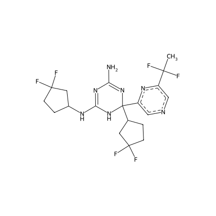 CC(F)(F)c1cncc(C2(C3CCC(F)(F)C3)N=C(N)N=C(NC3CCC(F)(F)C3)N2)n1